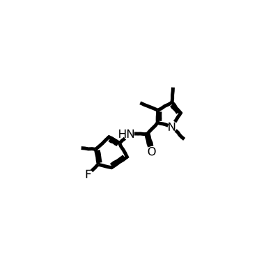 Cc1cc(NC(=O)c2c(C)c(C)cn2C)ccc1F